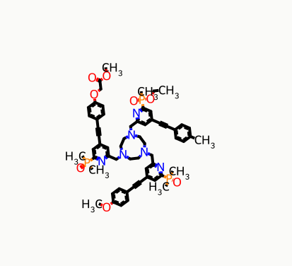 CCOP(C)(=O)c1cc(C#Cc2ccc(C)cc2)cc(CN2CCN(Cc3cc(C#Cc4ccc(OC)cc4)cc(P(C)(C)=O)n3)CCN(Cc3cc(C#Cc4ccc(OCC(=O)OC)cc4)cc(P(C)(C)=O)n3)CC2)n1